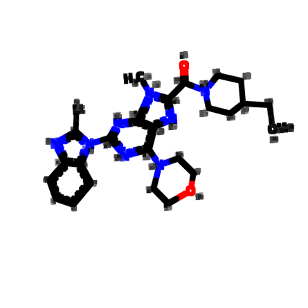 CCc1nc2ccccc2n1-c1nc(N2CCOCC2)c2nc(C(=O)N3CCC(COC)CC3)n(C)c2n1